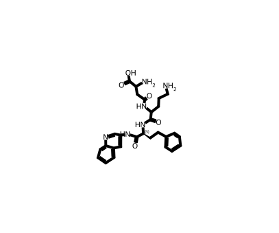 NCCCC(NC(=O)CC(N)C(=O)O)C(=O)N[C@@H](CCc1ccccc1)C(=O)Nc1cnc2ccccc2c1